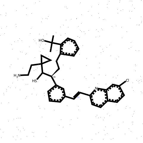 CC(C)(O)c1ccccc1CC[C@@H](c1cccc(/C=C/c2ccc3ccc(Cl)cc3n2)c1)C(S)C1(CCN)CC1